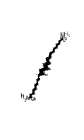 NC(=O)CCCCCCCCCCCCCCCCCCCCCCCC(N)=O